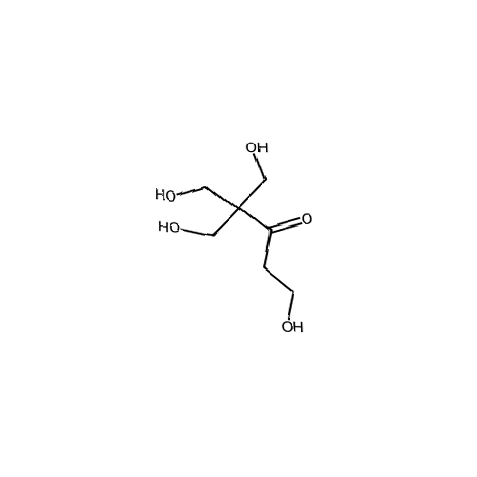 O=C(CCO)C(CO)(CO)CO